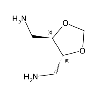 NC[C@H]1OCO[C@@H]1CN